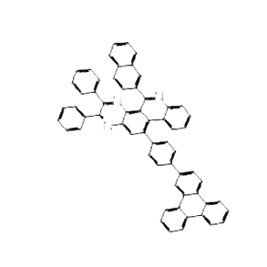 c1ccc(-c2nc3cc(-c4ccc(-c5ccc6c7ccccc7c7ccccc7c6c5)cc4)c4c5ccccc5nc(-c5ccc6ccccc6c5)c4c3nc2-c2ccccc2)cc1